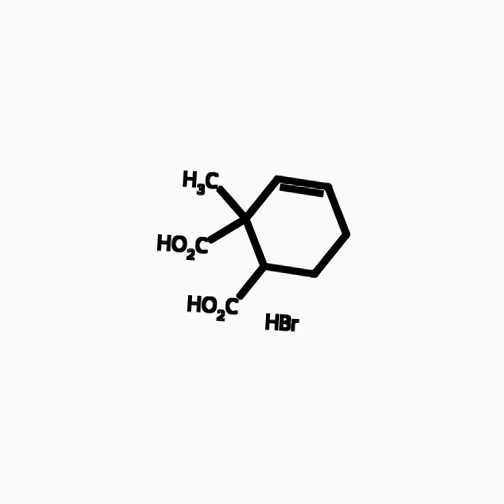 Br.CC1(C(=O)O)C=CCCC1C(=O)O